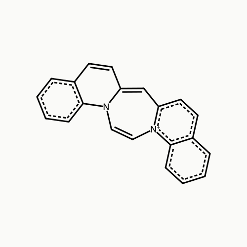 C1=Cc2ccccc2N2C=C[n+]3c(ccc4ccccc43)C=C12